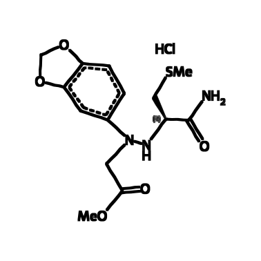 COC(=O)CN(N[C@@H](CSC)C(N)=O)c1ccc2c(c1)OCO2.Cl